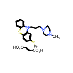 CCSc1ccc2c(c1)N(CCCN1CCN(C)CC1)c1ccccc1S2.O=C(O)C=CC(=O)O